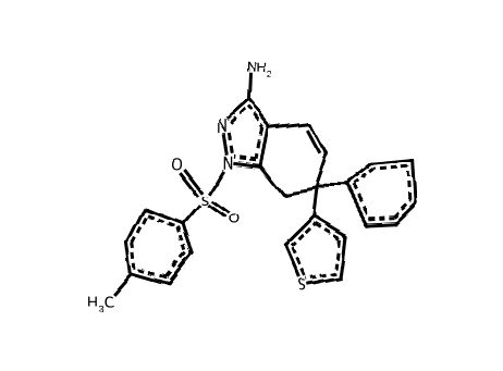 Cc1ccc(S(=O)(=O)n2nc(N)c3c2CC(c2ccccc2)(c2ccsc2)C=C3)cc1